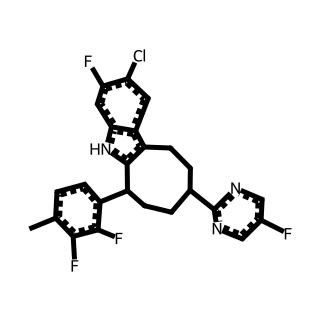 Cc1ccc(C2CCC(c3ncc(F)cn3)CCc3c2[nH]c2cc(F)c(Cl)cc32)c(F)c1F